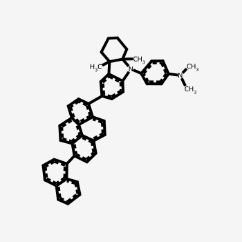 CN(C)c1ccc(N2c3ccc(-c4ccc5ccc6c(-c7cccc8ccccc78)ccc7ccc4c5c76)cc3C3(C)CCCCC23C)cc1